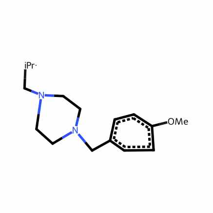 COc1ccc(CN2CCN(C[C](C)C)CC2)cc1